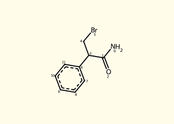 NC(=O)C(CBr)c1ccccc1